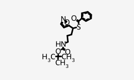 CC(C)(C)OC(=O)NCCCC(SC(=O)c1ccccc1)c1ccno1